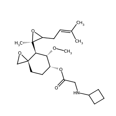 CO[C@@H]1[C@H](OC(=O)CNC2CCC2)CC[C@]2(CO2)[C@H]1[C@@]1(C)OC1CC=C(C)C